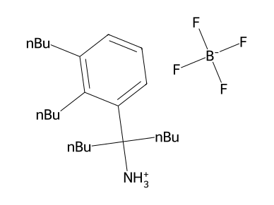 CCCCc1cccc(C([NH3+])(CCCC)CCCC)c1CCCC.F[B-](F)(F)F